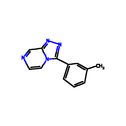 Cc1cccc(-c2nnc3cnccn23)c1